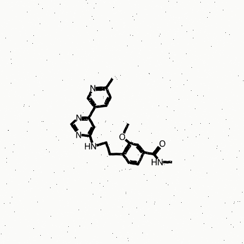 CNC(=O)c1ccc(CCNc2cc(-c3ccc(C)nc3)ncn2)c(OC)c1